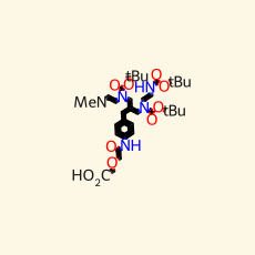 CNCCN(CC(Cc1ccc(NC(=O)COCC(=O)O)cc1)CN(CCNC(=O)OC(C)(C)C)C(=O)OC(C)(C)C)C(=O)OC(C)(C)C